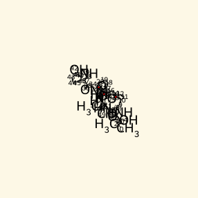 CC(C)[C@H](O)C(=O)N[C@H]1Cc2ccc3c(c2)C2(c4ccccc4NC2O3)c2oc(nc2C(=O)NCC(=O)c2c[nH]c3c(O)cccc23)[C@H](C(C)C)NC1=O